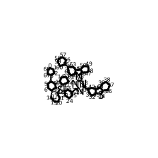 c1ccc(-c2cccc([Si](c3ccccc3)(c3ccccc3)c3cccc(-c4nc(-c5ccc6sc7ccccc7c6c5)nc(-n5c6ccccc6c6cc(-c7ccccc7)ccc65)n4)c3)c2)cc1